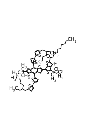 CCCCCCCCCC(=O)c1sc2c(-c3cc4c(-c5ccc(-c6ccc(CC(CC)CCCC)s6)s5)c5sc(C(C)(C)C)cc5c(-c5ccc(-c6ccc(CC(CC)CCCC)s6)s5)c4s3)sc(C(C)(C)CC)c2c1F